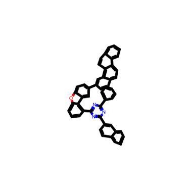 c1ccc(-c2nc(-c3ccc4ccccc4c3)nc(-c3cccc4oc5ccc(-c6ccc7ccc8c9ccccc9ccc8c7c6)cc5c34)n2)cc1